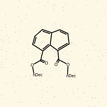 CCCCCCCCCCOC(=O)c1cccc2cccc(C(=O)OCCCCCCCCCC)c12